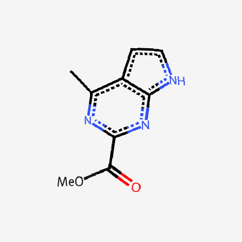 COC(=O)c1nc(C)c2cc[nH]c2n1